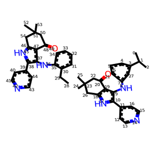 CC(C)c1cccc(Nc2c(-c3ccncc3)[nH]c3c2C(=O)CC(C)(C)C3)c1.CCc1ccccc1Nc1c(-c2ccncc2)[nH]c2c1C(=O)CC(C)(C)C2